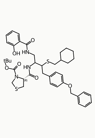 CC(C)(C)OC(=O)N1CSC[C@H]1C(=O)NC(CNC(=O)c1ccccc1O)C(Cc1ccc(OCc2ccccc2)cc1)SCC1CCCCC1